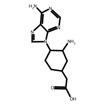 Nc1ncnc2c1ncn2C1CCC(CC(=O)O)CC1N